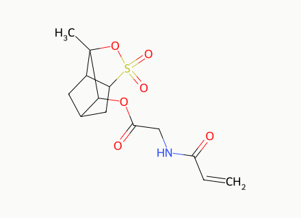 C=CC(=O)NCC(=O)OC1C2CC3C(C2)S(=O)(=O)OC31C